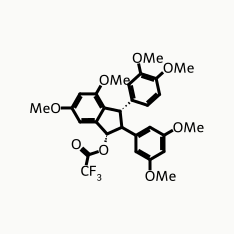 COc1cc(OC)cc(C2[C@@H](c3ccc(OC)c(OC)c3)c3c(OC)cc(OC)cc3[C@H]2OC(=O)C(F)(F)F)c1